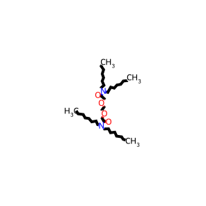 CCCCCCCCN(CCCCCCCC)C(=O)COCCOCC(=O)N(CCCCCCCC)CCCCCCCC